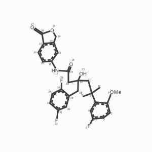 COc1ccc(F)cc1C(C)(C)CC(O)(CC(=O)Nc1ccc2c(c1)COC2=O)Cc1cc(F)ccc1F